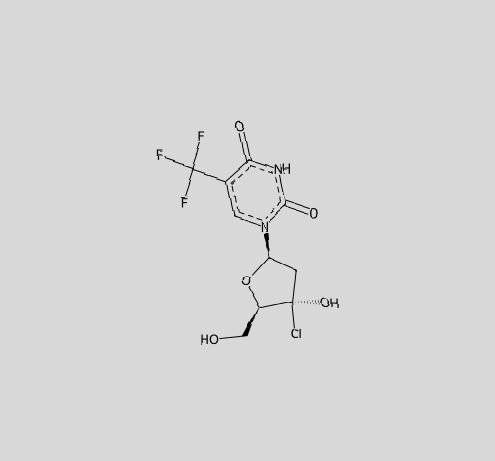 O=c1[nH]c(=O)n([C@H]2C[C@@](O)(Cl)[C@@H](CO)O2)cc1C(F)(F)F